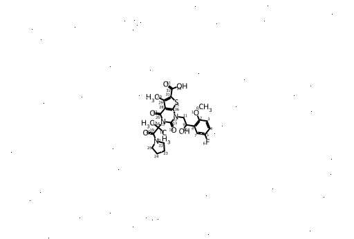 COc1ccc(F)cc1C(O)Cn1c(=O)n(C(C)(C)C(=O)N2CCCC2)c(=O)c2c(C)c(C(=O)O)sc21